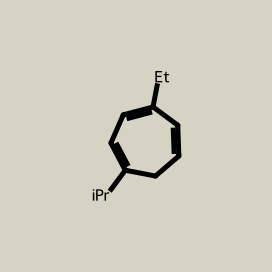 CCC1=CC=C(C(C)C)CC=C1